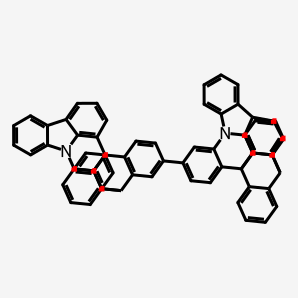 c1ccc2c(c1)C1c3cc(-c4ccc5c(c4)-n4c6ccccc6c6ccc7c(c64)C54c5ccccc5C7c5ccccc54)ccc3C23c2c1cccc2-n1c2ccccc2c2cccc3c21